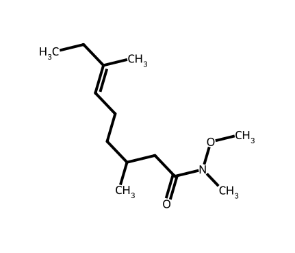 CCC(C)=CCCC(C)CC(=O)N(C)OC